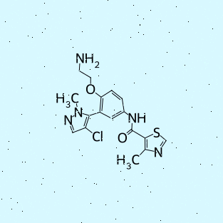 Cc1ncsc1C(=O)Nc1ccc(OCCN)c(-c2c(Cl)cnn2C)c1